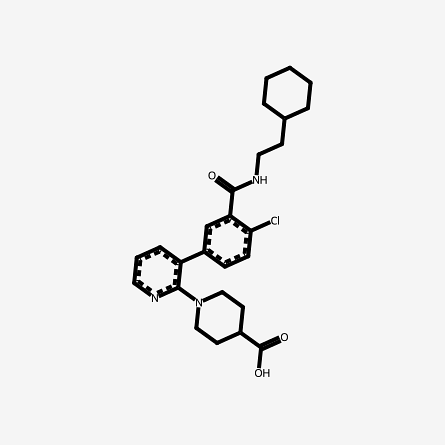 O=C(NCCC1CCCCC1)c1cc(-c2cccnc2N2CCC(C(=O)O)CC2)ccc1Cl